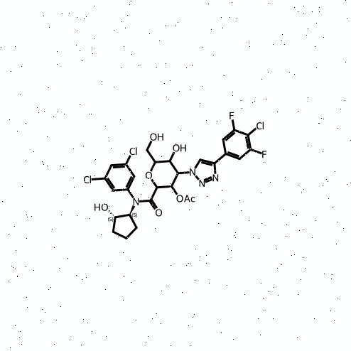 CC(=O)OC1C(C(=O)N(c2cc(Cl)cc(Cl)c2)[C@H]2CCC[C@@H]2O)OC(CO)C(O)C1n1cc(-c2cc(F)c(Cl)c(F)c2)nn1